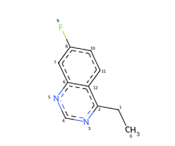 CCc1ncnc2cc(F)ccc12